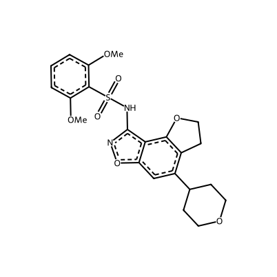 COc1cccc(OC)c1S(=O)(=O)Nc1noc2cc(C3CCOCC3)c3c(c12)OCC3